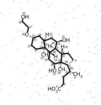 C[C@H](CCC(=O)O)[C@H]1CC[C@H]2[C@@H]3[C@H](O)C[C@@H]4C[C@@H](OCCO)CC[C@]4(C)[C@H]3C[C@H](O)[C@]12C